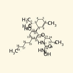 C=C(C)[C@@H]1CCC(C)=C[C@H]1c1c(O)cc(CCCCC)cc1OC(CCC)NC(=O)NO